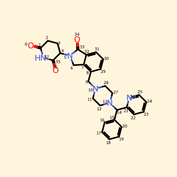 O=C1CCC(N2Cc3c(CN4CCN(C(c5ccccc5)c5ccccn5)CC4)cccc3C2=O)C(=O)N1